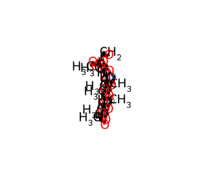 C=C(C=O)C[C@@H]1C[C@H](OC(C)=O)[C@]2(C)O[C@@H]3C[C@@H]4O[C@@H]5C[C@]6(C)O[C@]7(C)CC[C@@H]8O[C@@H]9C[C@]%10(C)O[C@@H]%11C(C)=CC(=O)OC%11CC%10OC9C[C@@H](C)C8OC7CC6O[C@@]5(C)C/C=C\C4OC3CC2O1